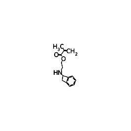 C=C(C)C(=O)OCCNC1Cc2ccccc21